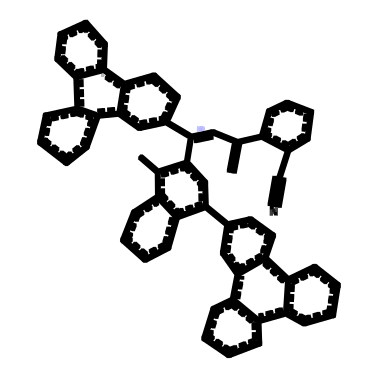 C=C(/C=C(/c1ccc2c3ccccc3c3ccccc3c2c1)c1cc(-c2ccc3c4ccccc4c4ccccc4c3c2)c2ccccc2c1C)c1ccccc1C#N